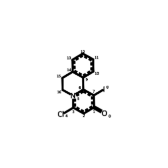 O=c1cc(Cl)n2c(c1I)-c1ccccc1CC2